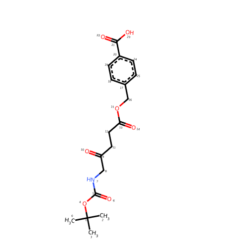 CC(C)(C)OC(=O)NCC(=O)CCC(=O)OCc1ccc(C(=O)O)cc1